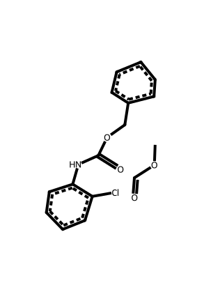 COC=O.O=C(Nc1ccccc1Cl)OCc1ccccc1